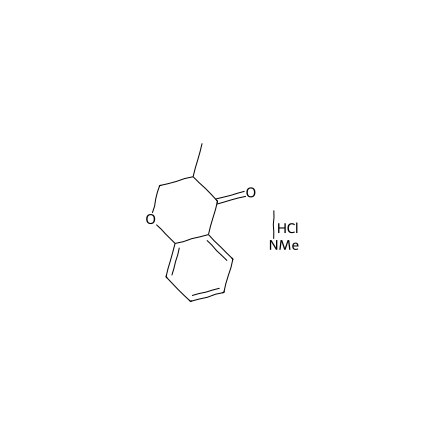 CC1COc2ccccc2C1=O.CNC.Cl